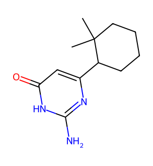 CC1(C)CCCCC1c1cc(=O)[nH]c(N)n1